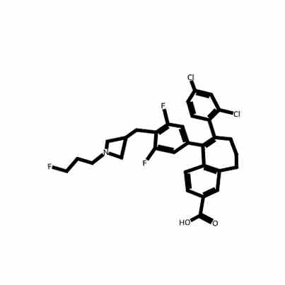 O=C(O)c1ccc2c(c1)CCCC(c1ccc(Cl)cc1Cl)=C2c1cc(F)c(CC2CN(CCCF)C2)c(F)c1